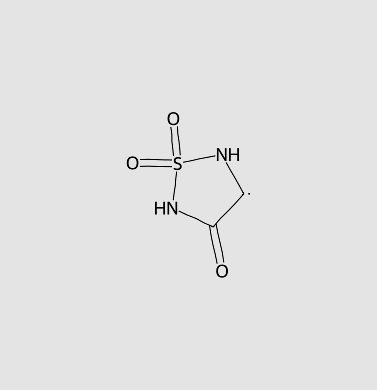 O=C1[CH]NS(=O)(=O)N1